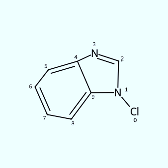 Cln1[c]nc2ccccc21